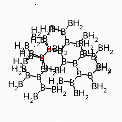 BB(B)B(B)B(B(BB(B(B(B)B)B(B)B)B(B(B)B)B(B)B)B(B(B(B)B)B(B)B)B(B(B)B)B(B)B)B(B(B)B)B(B)B